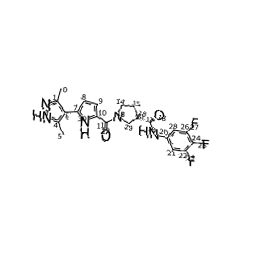 Cc1n[nH]c(C)c1-c1ccc(C(=O)N2CC[C@H](C(=O)Nc3cc(F)c(F)c(F)c3)C2)[nH]1